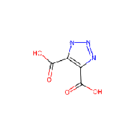 O=C(O)C1=C(C(=O)O)N=N[N]1